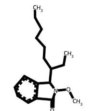 CCCCCCC(CC)C1c2ccccc2C(=O)N1OC